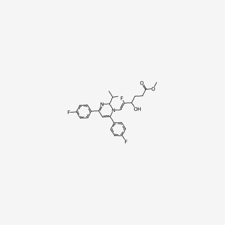 COC(=O)CCC(O)/C(F)=C/N1C(c2ccc(F)cc2)=CC(c2ccc(F)cc2)=NC1C(C)C